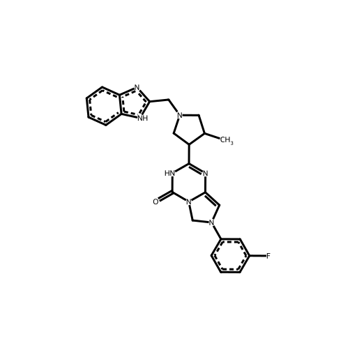 CC1CN(Cc2nc3ccccc3[nH]2)CC1C1=NC2=CN(c3cccc(F)c3)CN2C(=O)N1